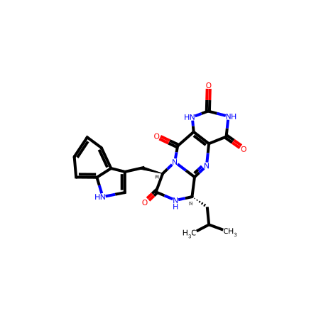 CC(C)C[C@@H]1NC(=O)[C@@H](Cc2c[nH]c3ccccc23)n2c1nc1c(=O)[nH]c(=O)[nH]c1c2=O